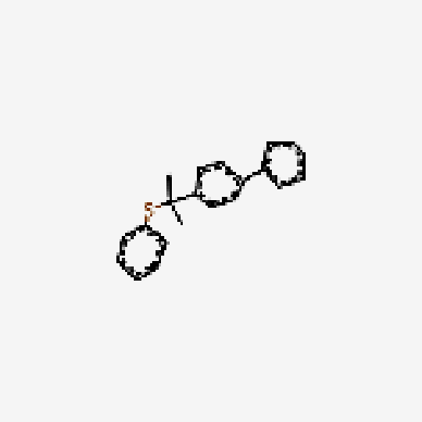 CC(C)(Sc1ccccc1)c1ccc(-c2ccccc2)cc1